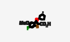 COc1cc2c(O[C@@H]3CCC[C@@H](C)C3)c(C(=O)O)sc2cc1F